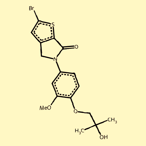 COc1cc(N2Cc3cc(Br)sc3C2=O)ccc1OCC(C)(C)O